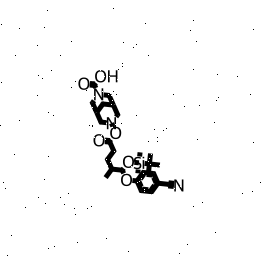 CC(CCC(=O)ON1CC2CC(C1)CN(C(=O)O)C2)C(Oc1ccc(C#N)cc1)O[Si](C)(C)C(C)(C)C